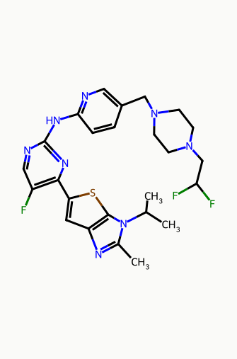 Cc1nc2cc(-c3nc(Nc4ccc(CN5CCN(CC(F)F)CC5)cn4)ncc3F)sc2n1C(C)C